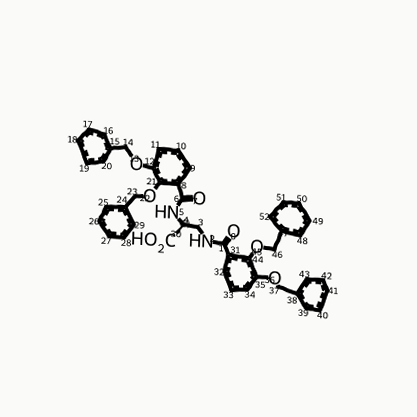 O=C(NC[C@H](NC(=O)c1cccc(OCc2ccccc2)c1OCc1ccccc1)C(=O)O)c1cccc(OCc2ccccc2)c1OCc1ccccc1